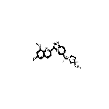 COc1cc(F)cc2ccc(-c3nnc4ccc([C@@H](C)N5CC[C@](C)(N)C5)cn34)nc12